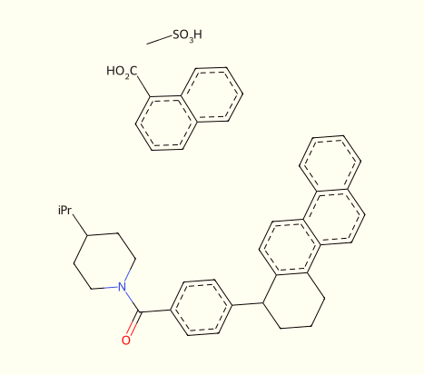 CC(C)C1CCN(C(=O)c2ccc(C3CCCc4c3ccc3c4ccc4ccccc43)cc2)CC1.CS(=O)(=O)O.O=C(O)c1cccc2ccccc12